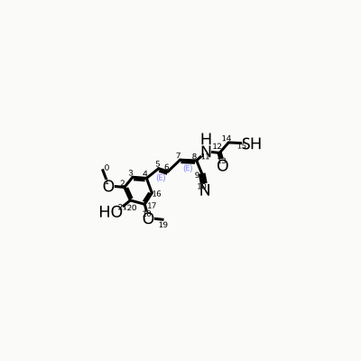 COc1cc(/C=C/C=C(\C#N)NC(=O)CS)cc(OC)c1O